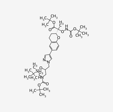 CC(C)(C)OC(=O)NCC(Cn1cc(-c2ccc3c(c2)CC[C@H](C(C)(ONC(=O)OC(C)(C)C)C(=O)OC(C)(C)C)O3)cn1)O[Si](C)(C)C(C)(C)C